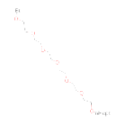 CCCCCCCOCCOCCOCCOCCOCCOCCOCC